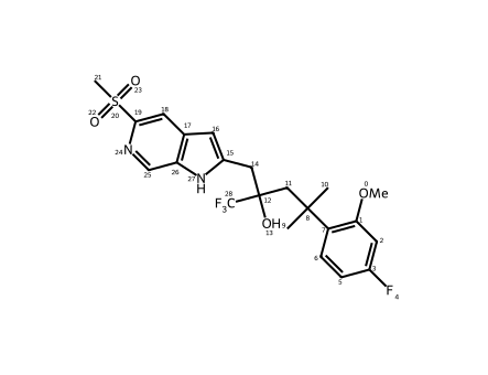 COc1cc(F)ccc1C(C)(C)CC(O)(Cc1cc2cc(S(C)(=O)=O)ncc2[nH]1)C(F)(F)F